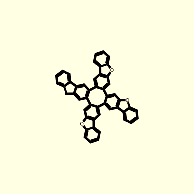 c1ccc2c(c1)Cc1cc3c(cc1-2)-c1cc2c(cc1-c1cc4oc5ccccc5c4cc1-c1cc4c(cc1-3)oc1ccccc14)oc1ccccc12